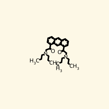 CCCN(CCC)CC(=O)c1cccc2cc3cccc(C(=O)CN(CCC)CCC)c3cc12